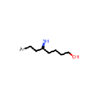 CC(=O)CCC(=N)CCCCO